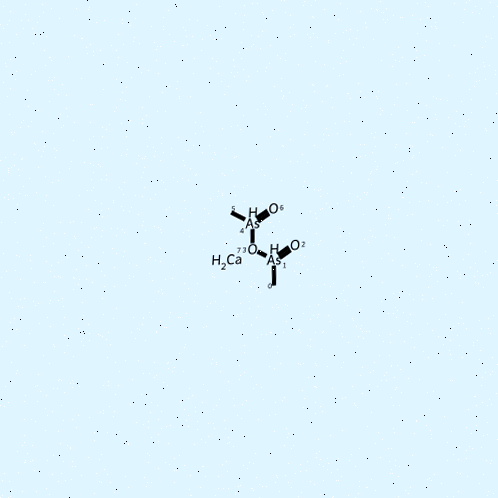 C[AsH](=O)O[AsH](C)=O.[CaH2]